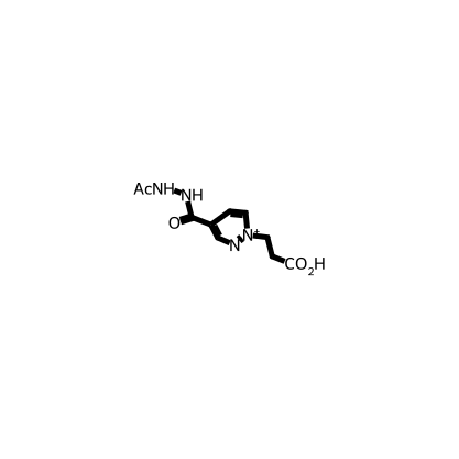 CC(=O)NNC(=O)c1cc[n+](CCC(=O)O)nc1